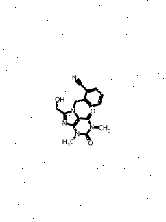 Cn1c(=O)c2c(nc(CO)n2Cc2ccccc2C#N)n(C)c1=O